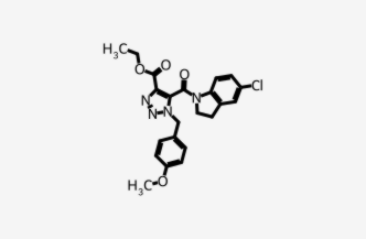 CCOC(=O)c1nnn(Cc2ccc(OC)cc2)c1C(=O)N1CCc2cc(Cl)ccc21